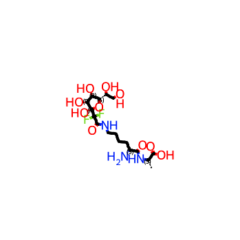 C[C@H](NC(=O)[C@@H](N)CCCCNC(=O)C(F)(F)[C@]1(O)O[C@@H](C(O)CO)[C@H](O)[C@H]1O)C(=O)O